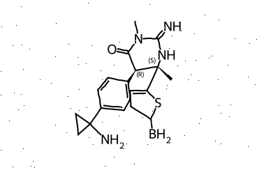 BC1CC=C([C@@]2(C)NC(=N)N(C)C(=O)[C@@H]2c2ccc(C3(N)CC3)cc2)S1